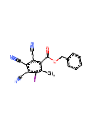 Cc1c(I)c(C#N)c(C#N)c(C#N)c1C(=O)OCc1ccccc1